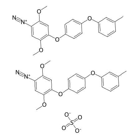 COc1cc(Oc2ccc(Oc3cccc(C)c3)cc2)c(OC)cc1[N+]#N.COc1cc(Oc2ccc(Oc3cccc(C)c3)cc2)c(OC)cc1[N+]#N.O=S(=O)([O-])[O-]